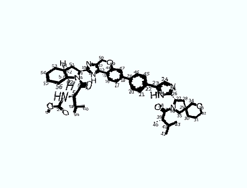 COC(=O)N[C@H](C(=O)N1[C@H](c2nc3c([nH]2)-c2ccc(-c4ccc(-c5cnc([C@@H]6C[C@@]7(CCCOC7)CN6C(=O)[C@@H](C)C(C)C)[nH]5)cc4)cc2OC3)C[C@@H]2CCCC[C@@H]21)C(C)C